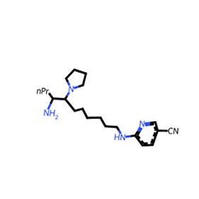 CCCC(N)C(CCCCCCNc1ccc(C#N)cn1)N1CCCC1